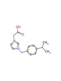 CC(C)c1ccc(C[n+]2ccn(CC(=O)O)c2)cc1